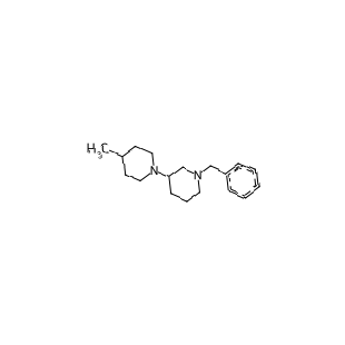 CC1CCN(C2CCCN(Cc3ccccc3)C2)CC1